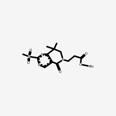 CC(C)(C)OC(=O)CCN1CC(C)(C)c2nc(S(C)(=O)=O)ncc2C1=O